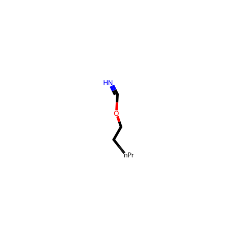 CCCCCOC=N